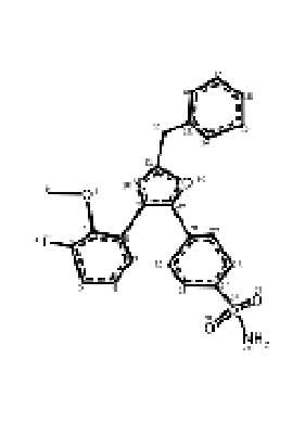 COc1c(F)cccc1-c1nc(Cc2ccccc2)oc1-c1ccc(S(N)(=O)=O)cc1